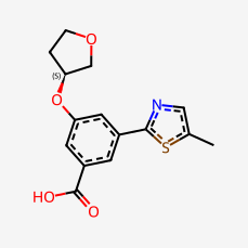 Cc1cnc(-c2cc(O[C@H]3CCOC3)cc(C(=O)O)c2)s1